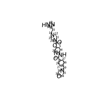 O=C(Nc1ccc(OC(=O)N2CCN(CCc3c[nH]cn3)CC2)cn1)c1ccc(CN2CCOCC2)cc1